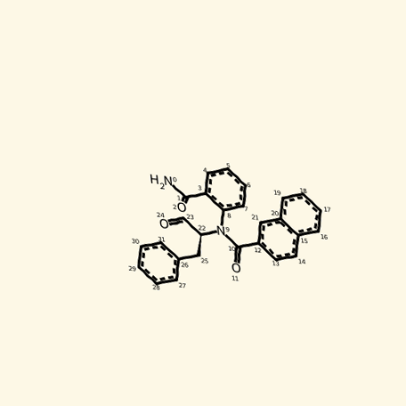 NC(=O)c1ccccc1N(C(=O)c1ccc2ccccc2c1)[C@H](C=O)Cc1ccccc1